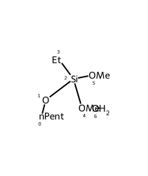 CCCCCO[Si](CC)(OC)OC.O